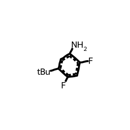 CC(C)(C)c1cc(N)c(F)cc1F